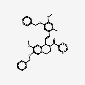 COc1cc(C)c(C=CC2c3cc(OC)c(OCc4ccccc4)cc3CCN2C(=O)c2cnccn2)cc1OCc1ccccc1